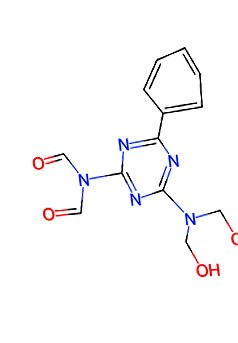 O=CN(C=O)c1nc(-c2ccccc2)nc(N(CO)CO)n1